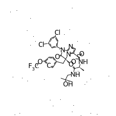 C[C@H](NS(=O)(=O)c1cnc2n1[C@](C)(Cc1ccc(OC(F)(F)F)cc1)C(=O)N2c1cc(Cl)cc(Cl)c1)C(=O)NCC(C)(C)O